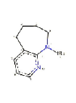 CC(C)(C)N1CCCCc2cccnc21